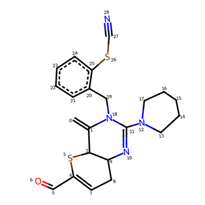 C=C1C2SC(C=O)=CCC2N=C(N2CCCCC2)N1Cc1ccccc1SC#N